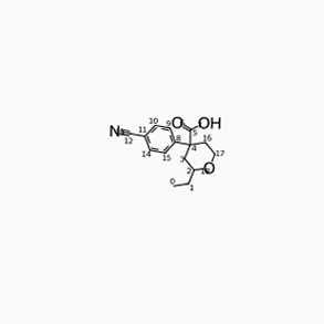 CCC1CC(C(=O)O)(c2ccc(C#N)cc2)CCO1